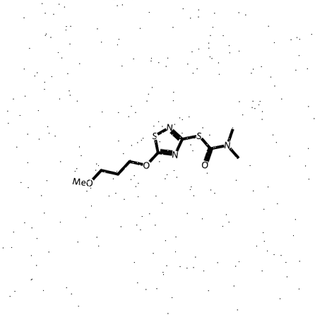 COCCCOc1nc(SC(=O)N(C)C)ns1